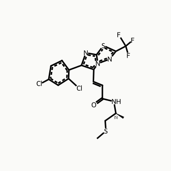 CSC[C@H](C)NC(=O)C=Cc1c(-c2ccc(Cl)cc2Cl)nc2sc(C(F)(F)F)nn12